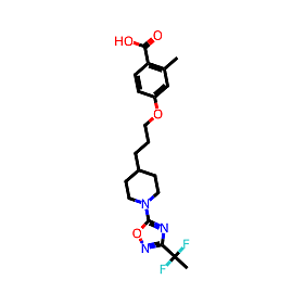 Cc1cc(OCCCC2CCN(c3nc(C(C)(F)F)no3)CC2)ccc1C(=O)O